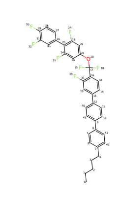 CCCCCc1ccc(-c2ccc(-c3ccc(C(F)(F)Oc4cc(F)c(-c5ccc(F)c(F)c5)c(F)c4)c(F)c3)cc2)cc1